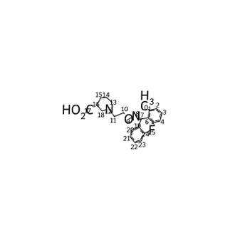 Cc1ccccc1C(=NOCCN1CCC[C@@H](C(=O)O)C1)c1ccccc1F